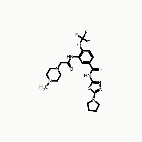 CN1CCN(CC(=O)Nc2cc(C(=O)Nc3nnc(N4CCCC4)s3)ccc2OC(F)(F)F)CC1